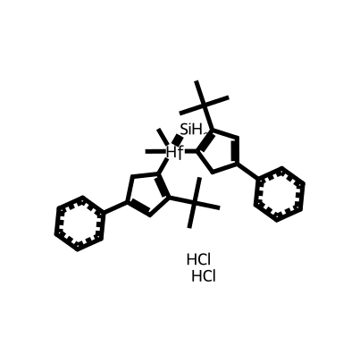 CC(C)(C)C1=[C]([Hf]([CH3])([CH3])(=[SiH2])[C]2=C(C(C)(C)C)C=C(c3ccccc3)C2)CC(c2ccccc2)=C1.Cl.Cl